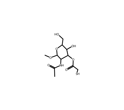 COC1OC(CO)C(O)C(OC(=O)CS)C1NC(C)=O